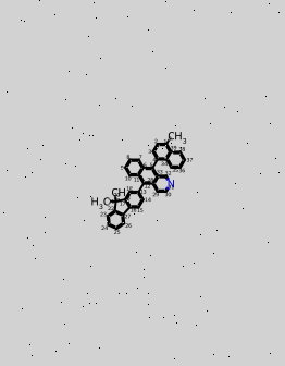 Cc1ccc(-c2c3ccccc3c(-c3ccc4c(c3)C(C)(C)c3ccccc3-4)c3ccncc23)c2ccccc12